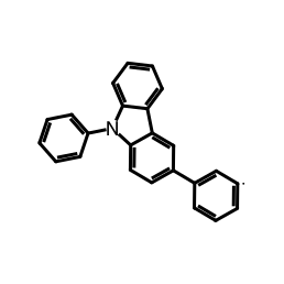 [c]1cccc(-c2ccc3c(c2)c2ccccc2n3-c2ccccc2)c1